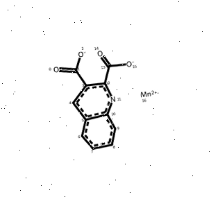 O=C([O-])c1cc2ccccc2nc1C(=O)[O-].[Mn+2]